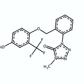 Cn1nnn(-c2ccccc2COc2ccc(O)cc2C(F)(F)F)c1=O